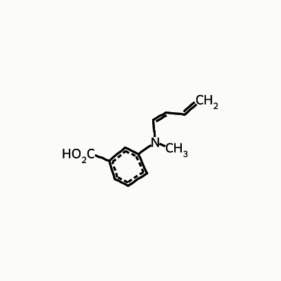 C=C/C=C\N(C)c1cccc(C(=O)O)c1